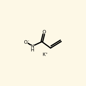 C=CC(=O)N[O-].[K+]